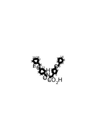 O=C(N[C@@H](Cc1ccc(OCc2ccccc2)cc1)C(=O)O)c1ccc(OCc2ccccc2F)cc1